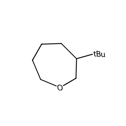 CC(C)(C)C1CCCCOC1